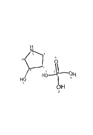 O=P(O)(O)O.OC1CCNC1